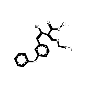 CCO/C=C(C(=O)OC)/C(Br)=C\c1cccc(Oc2ccccc2)c1